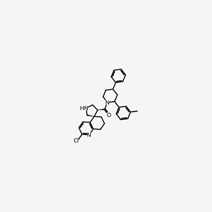 Cc1cccc(C2CC(c3ccccc3)CCN2C(=O)[C@@H]2CNC[C@]23CCCc2nc(Cl)ccc23)c1